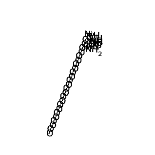 [CH2]c1ccc(NC(=O)[C@H](CCCNC(N)=O)NC(=O)[C@@H](NC(=O)OC(C)(C)C)C(C)C)cc1CN(C)C(=O)CCOCCOCCOCCOCCOCCOCCOCCOCCOCCOCCOCCOCCOCCOCCOCCOCCOCCOCCOCCOCCOCCOCCOCCOC